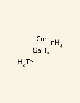 [Cu].[GaH3].[InH3].[TeH2]